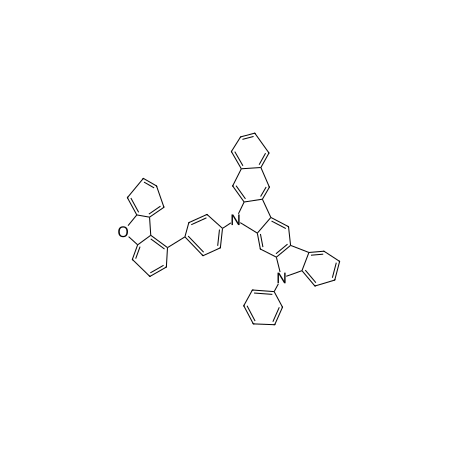 c1ccc(-n2c3ccccc3c3cc4c5cc6ccccc6cc5n(-c5ccc(-c6cccc7oc8ccccc8c67)cc5)c4cc32)cc1